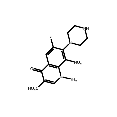 Nn1cc(C(=O)O)c(=O)c2cc(F)c(N3CCNCC3)c([N+](=O)[O-])c21